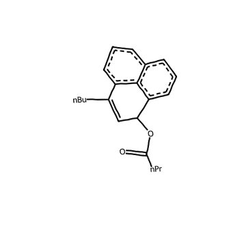 CCCCC1=CC(OC(=O)CCC)c2cccc3cccc1c23